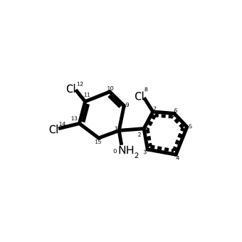 NC1(c2ccccc2Cl)C=CC(Cl)=C(Cl)C1